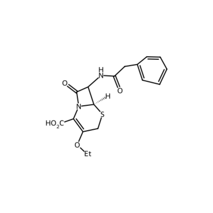 CCOC1=C(C(=O)O)N2C(=O)C(NC(=O)Cc3ccccc3)[C@H]2SC1